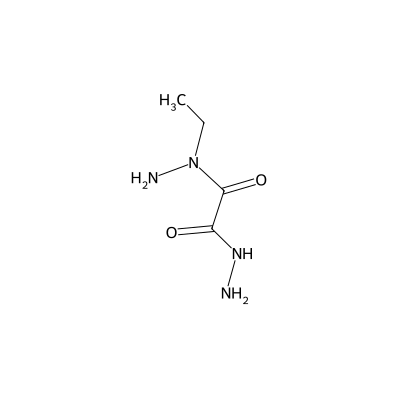 CCN(N)C(=O)C(=O)NN